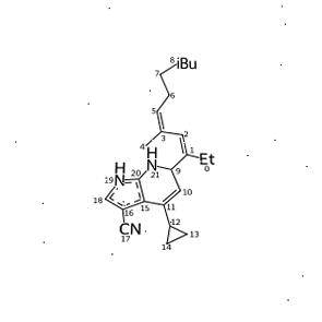 CC/C(=C/C(C)=C\CCC(C)CC)C1C=C(C2CC2)c2c(C#N)c[nH]c2N1